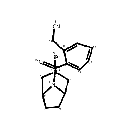 CC(C)N1CC2CCC(C1)N2C(=O)c1ccccc1CC#N